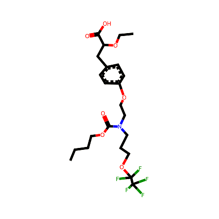 CCCCOC(=O)N(CCCOC(F)(F)C(F)(F)F)CCOc1ccc(CC(OCC)C(=O)O)cc1